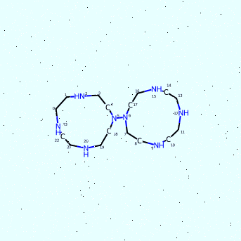 C1CNCCN(N2CCNCCNCCNCC2)CCNCCN1